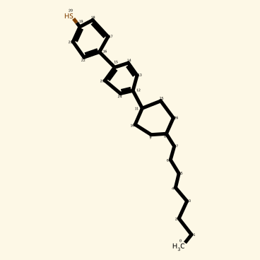 CCCCCCCCC1CCC(c2ccc(-c3ccc(S)cc3)cc2)CC1